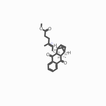 COC(=O)CC/C(C)=C/C[C@@]12C(=O)c3ccccc3C(=O)[C@]1(C)[C@@H]1C=C[C@H]2C1